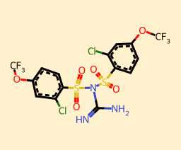 N=C(N)N(S(=O)(=O)c1ccc(OC(F)(F)F)cc1Cl)S(=O)(=O)c1ccc(OC(F)(F)F)cc1Cl